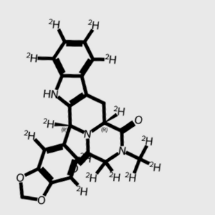 [2H]c1c([2H])c([C@]2([2H])c3[nH]c4c([2H])c([2H])c([2H])c([2H])c4c3C[C@]3([2H])C(=O)N(C([2H])([2H])[2H])C([2H])([2H])C(=O)N23)c([2H])c2c1OCO2